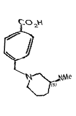 CN[C@H]1CCCN(Cc2ccc(C(=O)O)cc2)C1